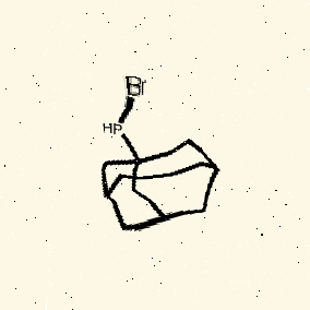 BrPC12CC3CC(CC(C3)C1)C2